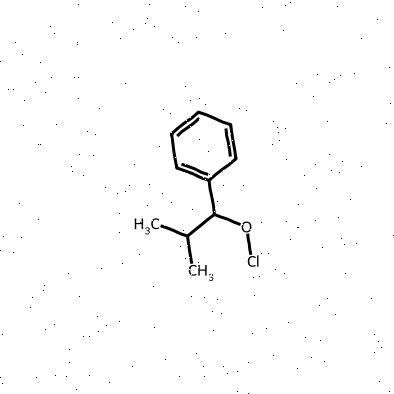 CC(C)C(OCl)c1ccccc1